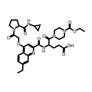 CCOC(=O)N1CCN(C(=O)C(CCC(=O)O)NC(=O)c2cc(OCC(=O)N3CCCC3C(=O)NC3CC3)c3ccc(CC)cc3n2)CC1